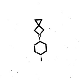 C[C@H]1CC[C@@H](N2CC3(CC3)C2)CC1